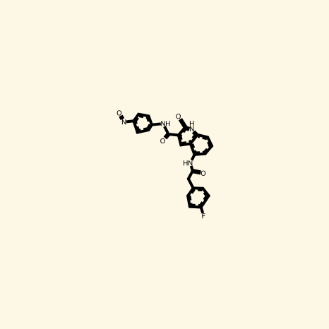 O=Nc1ccc(NC(=O)c2cc3c(NC(=O)Cc4ccc(F)cc4)cccc3[nH]c2=O)cc1